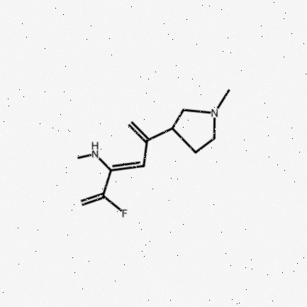 C=C(F)/C(=C/C(=C)C1CCN(C)C1)NC